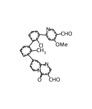 COc1cc(-c2cccc(-c3cccc(-c4ccn5c(=O)c(C=O)cnc5c4)c3C)c2Cl)ncc1C=O